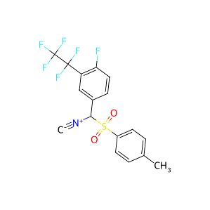 [C-]#[N+]C(c1ccc(F)c(C(F)(F)C(F)(F)F)c1)S(=O)(=O)c1ccc(C)cc1